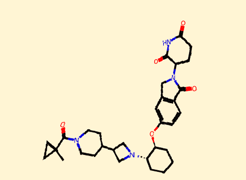 CC1(C(=O)N2CCC(C3CN([C@H]4CCCC[C@@H]4Oc4ccc5c(c4)CN(C4CCC(=O)NC4=O)C5=O)C3)CC2)CC1